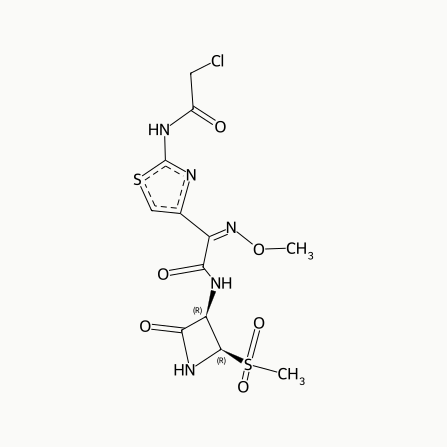 CON=C(C(=O)N[C@@H]1C(=O)N[C@@H]1S(C)(=O)=O)c1csc(NC(=O)CCl)n1